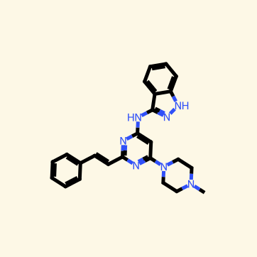 CN1CCN(c2cc(Nc3n[nH]c4ccccc34)nc(/C=C/c3ccccc3)n2)CC1